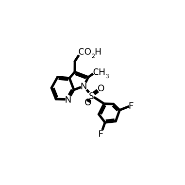 Cc1c(CC(=O)O)c2cccnc2n1S(=O)(=O)c1cc(F)cc(F)c1